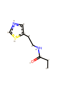 CCC(=O)NCCc1cncs1